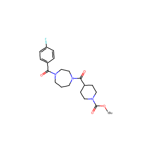 CC(C)(C)OC(=O)N1CCC(C(=O)N2CCCN(C(=O)c3ccc(F)cc3)CC2)CC1